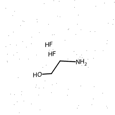 F.F.NCCO